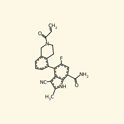 C=CC(=O)N1CCc2c(cccc2-c2c(F)cc(C(N)=O)c3[nH]c(C)c(C#N)c23)C1